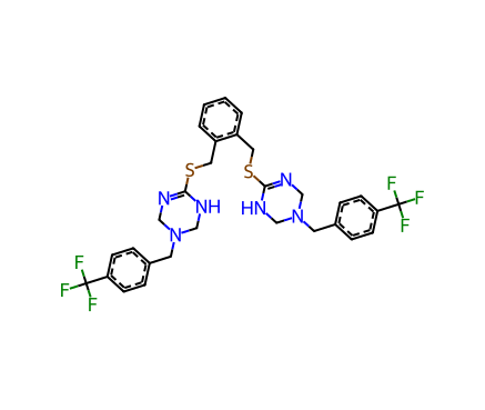 FC(F)(F)c1ccc(CN2CN=C(SCc3ccccc3CSC3=NCN(Cc4ccc(C(F)(F)F)cc4)CN3)NC2)cc1